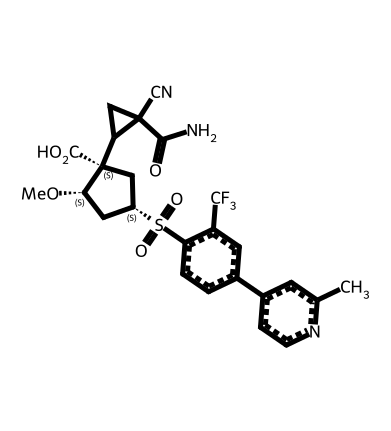 CO[C@H]1C[C@@H](S(=O)(=O)c2ccc(-c3ccnc(C)c3)cc2C(F)(F)F)C[C@]1(C(=O)O)C1CC1(C#N)C(N)=O